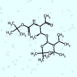 CC(=O)[C@H](NC(=O)OC(C)(C)C)[C@H](C)OP(OC(C)(C)C)N(C(C)C)C(C)C